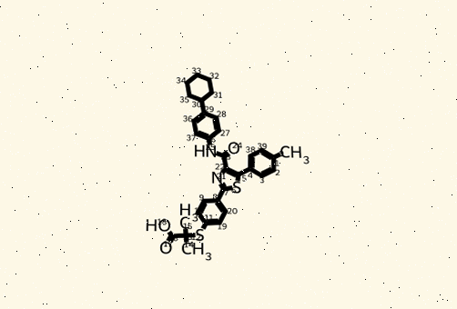 Cc1ccc(-c2sc(-c3ccc(SC(C)(C)C(=O)O)cc3)nc2C(=O)Nc2ccc(C3CCCCC3)cc2)cc1